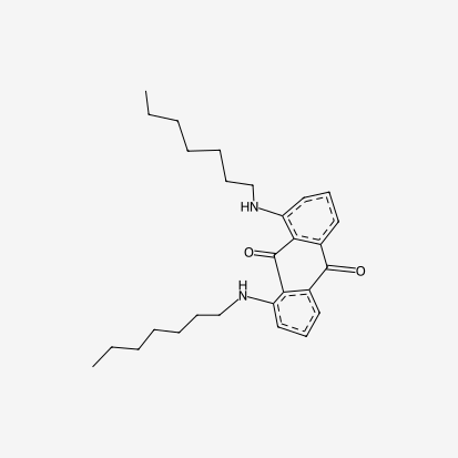 CCCCCCCNc1cccc2c1C(=O)c1c(NCCCCCCC)cccc1C2=O